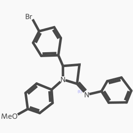 COc1ccc(N2/C(=N/c3ccccc3)CC2c2ccc(Br)cc2)cc1